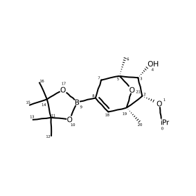 CC(C)O[C@H]1[C@@H](O)[C@]2(C)CC(B3OC(C)(C)C(C)(C)O3)=C[C@@]1(C)O2